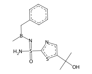 CB(Cc1ccccc1)N=S(N)(=O)c1ncc(C(C)(C)O)s1